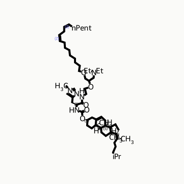 CCCCC/C=C\C/C=C\CCCCCCCCOCC(CN(CC)CC)OCCNC(=O)[C@H](Cc1cn(C)cn1)NC(=O)O[C@H]1CC[C@@]2(C)C(=CC[C@H]3[C@@H]4CC[C@H]([C@H](C)CCCC(C)C)[C@@]4(C)CC[C@@H]32)C1